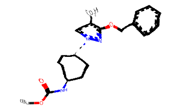 CC(C)(C)OC(=O)N[C@H]1CC[C@H](n2cc(C(=O)O)c(OCc3ccccc3)n2)CC1